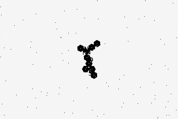 c1ccc(-c2ccc(-c3nc(-c4ccccc4)nc(-c4ccc5c(c4)oc4cc(-c6ccc7c(sc8ccccc87)c6-c6ccccc6)ccc45)n3)cc2)cc1